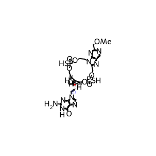 COCc1ncc2nc3n(c2n1)CCOP(=O)(S)OC[C@H]1O[C@@H](/C=C/n2cnc4c(=O)[nH]c(N)nc42)[C@H](OP(=O)(S)OC3)[C@H]1F